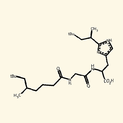 CC(CCCC(=O)NCC(=O)NC(Cc1c[nH]c(C(C)CC(C)(C)C)n1)C(=O)O)CC(C)(C)C